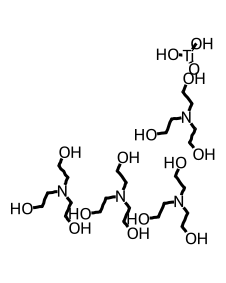 OCCN(CCO)CCO.OCCN(CCO)CCO.OCCN(CCO)CCO.OCCN(CCO)CCO.[O]=[Ti]([OH])[OH]